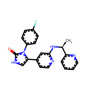 C[C@H](Nc1cc(-c2c[nH]c(=O)n2-c2ccc(F)cc2)ccn1)c1ccccn1